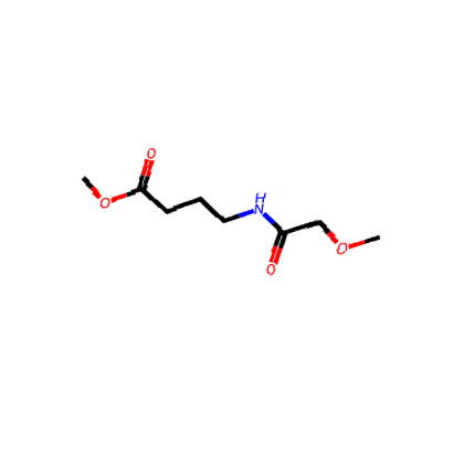 COCC(=O)NCCCC(=O)OC